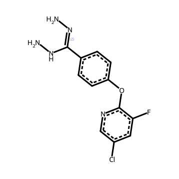 N/N=C(\NN)c1ccc(Oc2ncc(Cl)cc2F)cc1